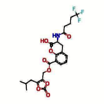 CC(C)Cc1oc(=O)oc1COC(=O)c1cccc2c1OB(O)[C@@H](NC(=O)CCCC(F)(F)F)C2